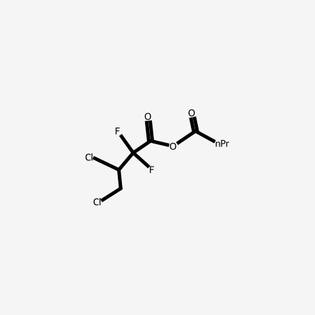 CCCC(=O)OC(=O)C(F)(F)C(Cl)CCl